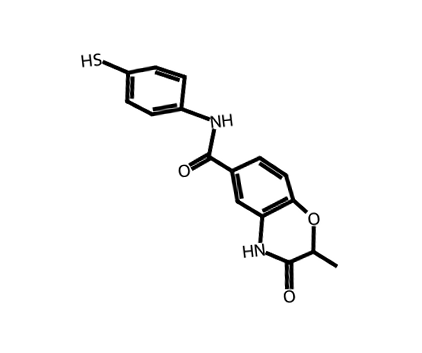 CC1Oc2ccc(C(=O)Nc3ccc(S)cc3)cc2NC1=O